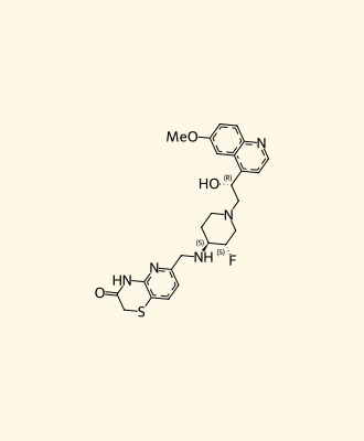 COc1ccc2nccc([C@@H](O)CN3CC[C@H](NCc4ccc5c(n4)NC(=O)CS5)[C@@H](F)C3)c2c1